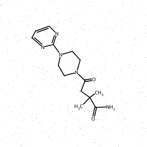 CC(C)([CH]C(=O)N1CCN(c2ncccn2)CC1)C(N)=O